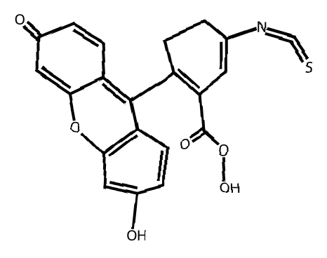 O=C(OO)C1=C(c2c3ccc(=O)cc-3oc3cc(O)ccc23)CCC(N=C=S)=C1